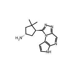 CC1(C)C[C@@H](N)C[C@@H]1c1nnc2cnc3[nH]ccc3n12